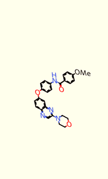 COc1ccc(C(=O)Nc2ccc(Oc3ccc4ncc(N5CCOCC5)nc4c3)cc2)cc1